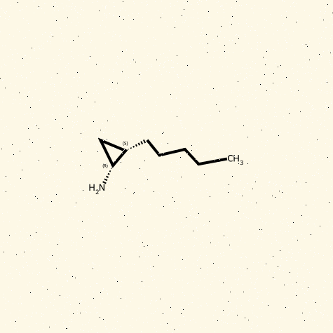 CCCCC[C@H]1C[C@H]1N